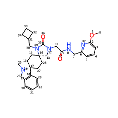 COc1cccc(CNC(=O)CN2C[C@]3(CC[C@@](c4ccccc4)(N(C)C)CC3)N(CC3CCC3)C2=O)n1